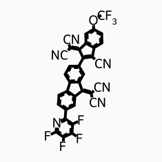 N#CC(C#N)=C1C(c2ccc3c(c2)C(=C(C#N)C#N)c2cc(-c4nc(F)c(F)c(F)c4F)ccc2-3)=C(C#N)c2ccc(OC(F)(F)F)cc21